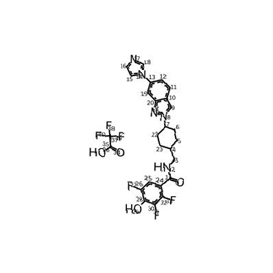 O=C(NCC1CCC(n2cc3ccc(-n4ccnc4)cc3n2)CC1)c1cc(F)c(O)c(F)c1F.O=C(O)C(F)(F)F